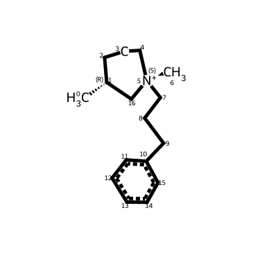 C[C@@H]1CCC[N@@+](C)(CCCc2ccccc2)C1